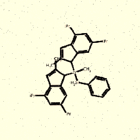 CC1=Cc2c(C(C)C)cc(C(C)C)cc2[CH]1[Zr]([CH3])([SiH2]c1ccccc1)[CH]1C(C)=Cc2c(C(C)C)cc(C(C)C)cc21